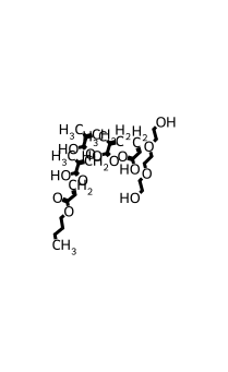 C=C(C)C(=O)O.C=C(C)C(=O)O.C=C(C)C(=O)O.C=CC(=O)O.C=CC(=O)OCCCC.OCCOCCOCCO